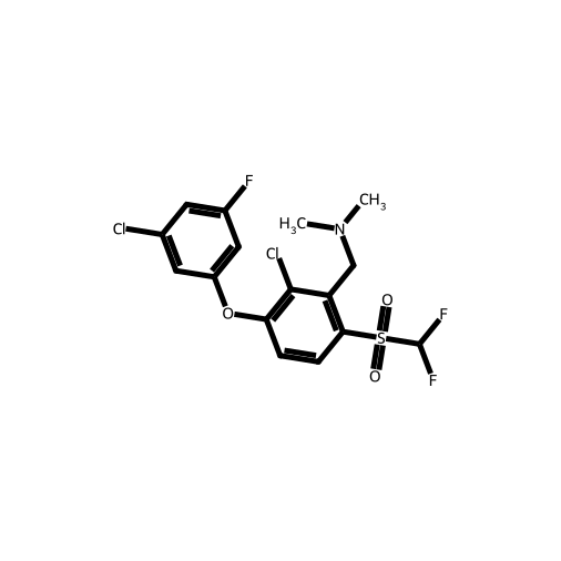 CN(C)Cc1c(S(=O)(=O)C(F)F)ccc(Oc2cc(F)cc(Cl)c2)c1Cl